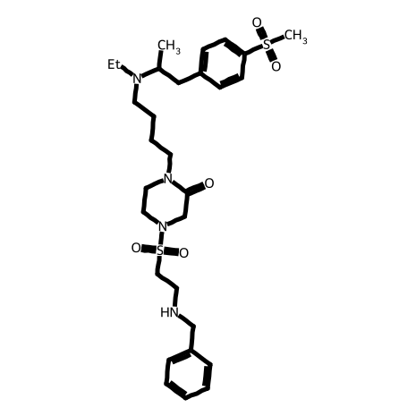 CCN(CCCCN1CCN(S(=O)(=O)CCNCc2ccccc2)CC1=O)C(C)Cc1ccc(S(C)(=O)=O)cc1